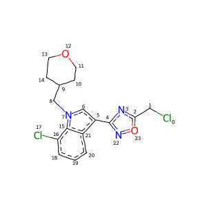 ClCc1nc(-c2cn(CC3CCOCC3)c3c(Cl)cccc23)no1